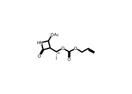 C=CCOC(=O)O[C@H](C)C1C(=O)NC1OC(C)=O